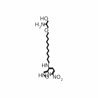 N[C@@H](CO)COCCCCCCCCCCCNC1=CC=C([N+](=O)[O-])N2ONC=C12